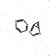 c1cncnc1.c1nc2cc-2n1